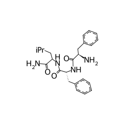 CC(C)CC(NC(=O)[C@@H](Cc1ccccc1)NC(=O)[C@H](N)Cc1ccccc1)C(N)=O